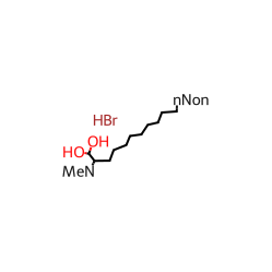 Br.CCCCCCCCCCCCCCCCCCC(NC)C(O)O